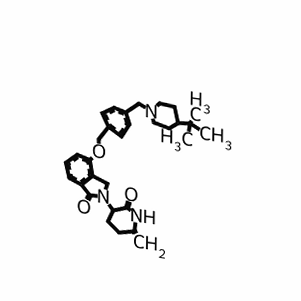 C=C1CCC(N2Cc3c(OCc4ccc(CN5CCC(C(C)(C)C)CC5)cc4)cccc3C2=O)C(=O)N1